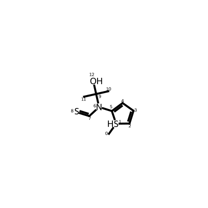 C[SH]1C=CC=C1N(C=S)C(C)(C)O